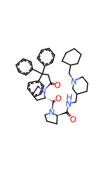 O=C(NCC1CCCN(CC2CCCCC2)C1)[C@H]1CCCN1C(=O)[C@@H]1CCCN1C(=O)CC(c1ccccc1)(c1ccccc1)c1ccccc1